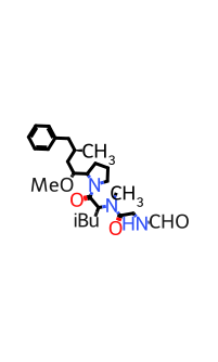 CCC(C)C(C(=O)N1CCCC1C(C[C@H](C)Cc1ccccc1)OC)N(C)C(=O)CNC=O